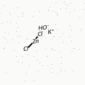 [Cl][Zn][Cl].[K+].[OH-]